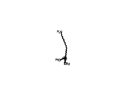 CCCCCCCCCCCCCCCCCCCCCCN(OCCCO)OCCCO